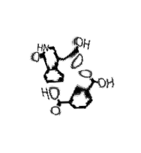 O=C(O)c1c[nH]c(=O)c2ccccc12.O=C(O)c1cccc(C(=O)O)c1